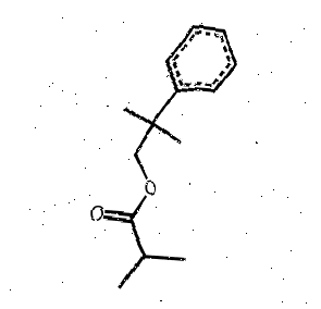 CC(C)C(=O)OCC(C)(C)c1ccccc1